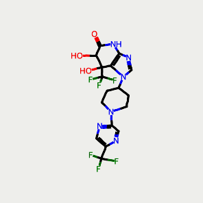 O=C1Nc2ncn(C3CCN(c4cnc(C(F)(F)F)cn4)CC3)c2C(O)(C(F)(F)F)C1O